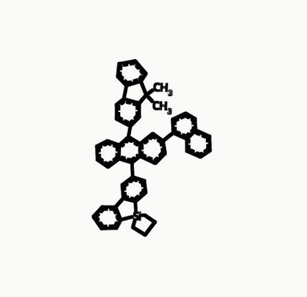 CC1(C)c2ccccc2-c2ccc(-c3c4ccccc4c(-c4ccc5c(c4)-c4ccccc4[Si]54CCCC4)c4ccc(-c5cccc6ccccc56)cc34)cc21